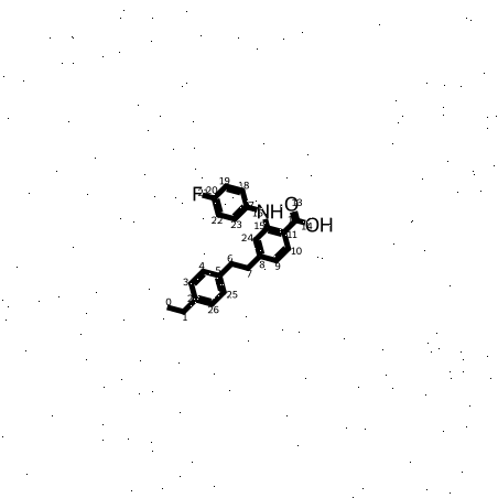 CCc1ccc(CCc2ccc(C(=O)O)c(Nc3ccc(F)cc3)c2)cc1